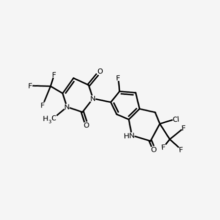 Cn1c(C(F)(F)F)cc(=O)n(-c2cc3c(cc2F)CC(Cl)(C(F)(F)F)C(=O)N3)c1=O